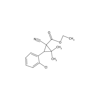 CCOC(=O)C1(C#N)C(c2ccccc2Cl)C1(C)C